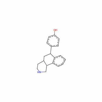 Oc1ccc(C2CC3CCNCC3c3ccccc32)cc1